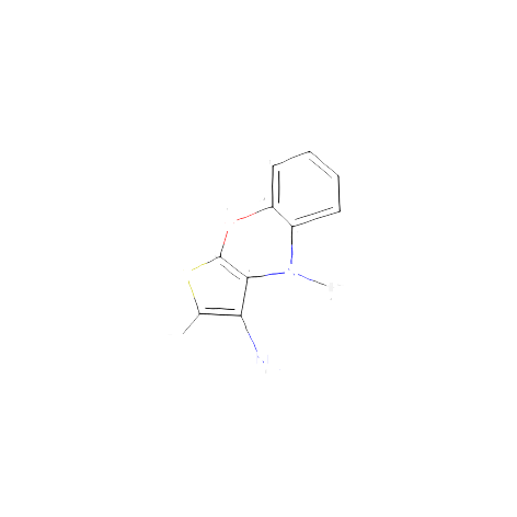 CCc1sc2c(c1N)N(C(C)C)c1ccccc1O2